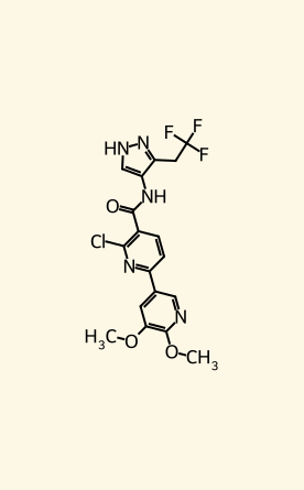 COc1cc(-c2ccc(C(=O)Nc3c[nH]nc3CC(F)(F)F)c(Cl)n2)cnc1OC